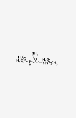 COC(CCPCCCCC(CCPCCC(OC)OC)OCCCN)OC